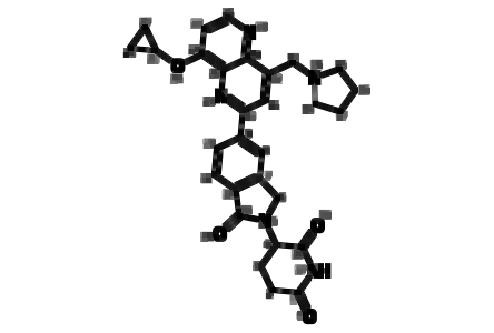 O=C1CCC(N2Cc3cc(-c4cc(CN5CCCC5)c5nccc(OC6CC6)c5n4)ccc3C2=O)C(=O)N1